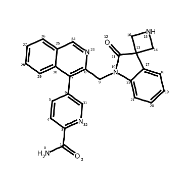 NC(=O)c1ccc(-c2c(CN3C(=O)C4(CNC4)c4ccccc43)ncc3ccccc23)cn1